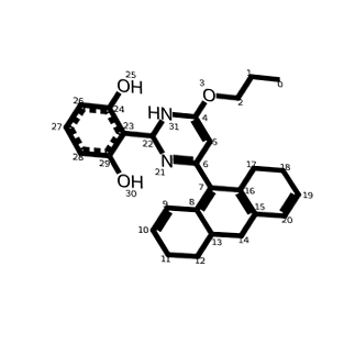 CCCOC1=CC(C2=C3C=CCCC3CC3=C2CCC=C3)=NC(c2c(O)cccc2O)N1